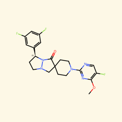 COc1nc(N2CCC3(CC2)CN2CC[C@@H](c4cc(F)cc(F)c4)N2C3=O)ncc1F